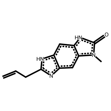 C=CCc1nc2cc3c(cc2[nH]1)[nH]c(=O)n3C